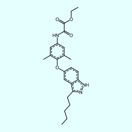 CCCCCc1n[nH]c2ccc(Oc3c(C)cc(NC(=O)C(=O)OCC)cc3C)cc12